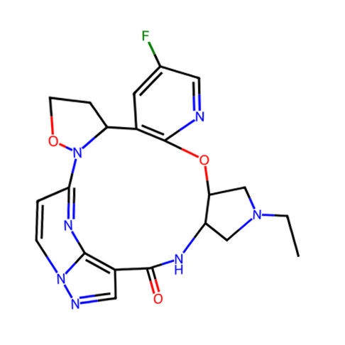 CCN1CC2NC(=O)c3cnn4ccc(nc34)N3OCCC3c3cc(F)cnc3OC2C1